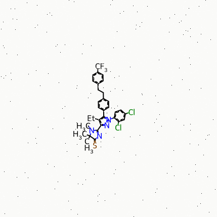 CCc1c(C2=NC(=S)C(C)(C)N2C)nn(-c2ccc(Cl)cc2Cl)c1-c1ccc(CCc2ccc(C(F)(F)F)cc2)cc1